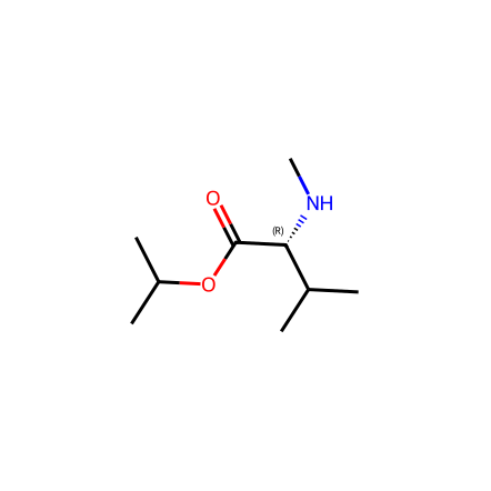 CN[C@@H](C(=O)OC(C)C)C(C)C